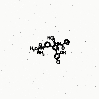 CC(N)C(=O)Nc1cccc(-c2cc(-c3ccc(Cl)cc3O)nc(NC(=O)c3ccco3)c2C#N)c1.Cl